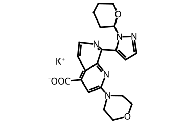 O=C([O-])c1cc(N2CCOCC2)nc2c(-c3ccnn3C3CCCCO3)nccc12.[K+]